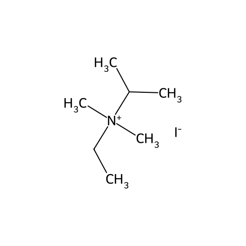 CC[N+](C)(C)C(C)C.[I-]